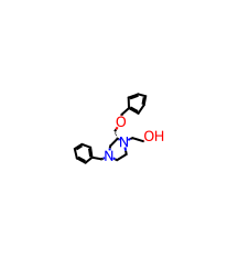 OCCN1CCN(Cc2ccccc2)C[C@@H]1COCc1ccccc1